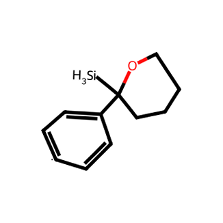 [SiH3]C1(c2cc[c]cc2)CCCCO1